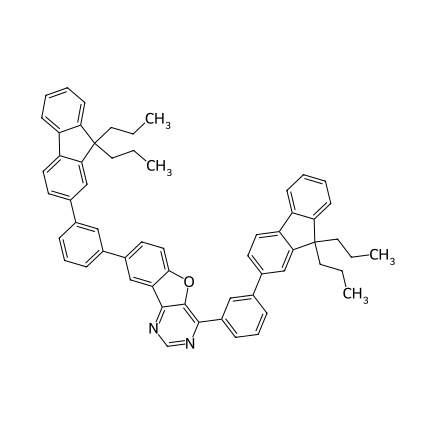 CCCC1(CCC)c2ccccc2-c2ccc(-c3cccc(-c4ccc5oc6c(-c7cccc(-c8ccc9c(c8)C(CCC)(CCC)c8ccccc8-9)c7)ncnc6c5c4)c3)cc21